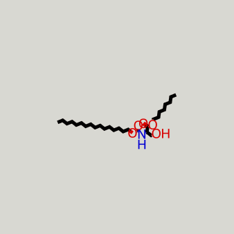 CCCCCCCCCCCCCCCCOC(=O)NC(CO)C(=O)OCCCCCCCC